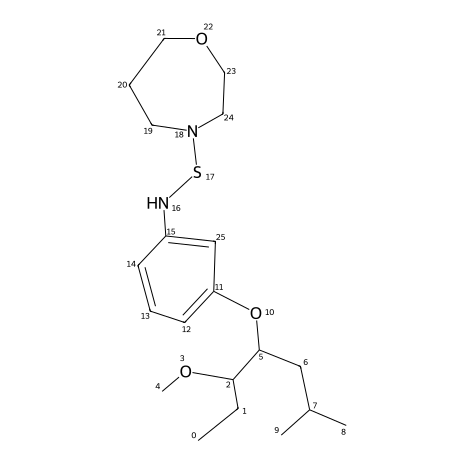 CCC(OC)C(CC(C)C)Oc1cccc(NSN2CCCOCC2)c1